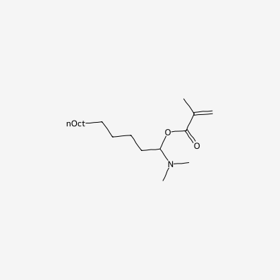 C=C(C)C(=O)OC(CCCCCCCCCCCC)N(C)C